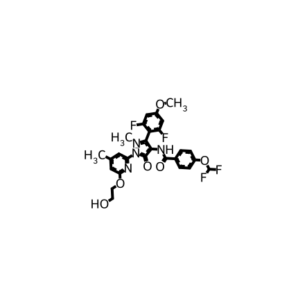 COc1cc(F)c(-c2c(NC(=O)c3ccc(OC(F)F)cc3)c(=O)n(-c3cc(C)cc(OCCO)n3)n2C)c(F)c1